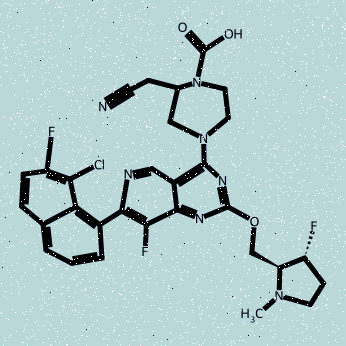 CN1CC[C@@H](F)[C@@H]1COc1nc(N2CCN(C(=O)O)C(CC#N)C2)c2cnc(-c3cccc4ccc(F)c(Cl)c34)c(F)c2n1